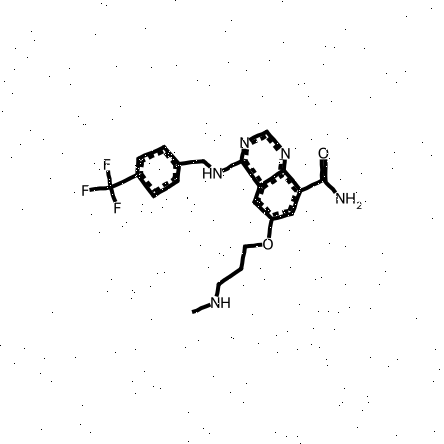 CNCCCOc1cc(C(N)=O)c2ncnc(NCc3ccc(C(F)(F)F)cc3)c2c1